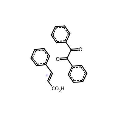 O=C(C(=O)c1ccccc1)c1ccccc1.O=C(O)/C=C/c1ccccc1